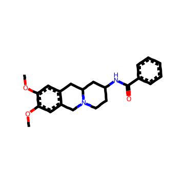 COc1cc2c(cc1OC)CN1CCC(NC(=O)c3ccccc3)CC1C2